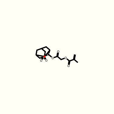 C=C(C)C(=O)OCC(=O)OC1C2CC3CC1OS(=O)(=O)C(C3)C2